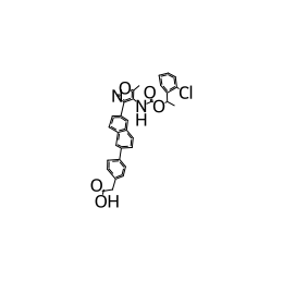 Cc1onc(-c2ccc3cc(-c4ccc(CC(=O)O)cc4)ccc3c2)c1NC(=O)OC(C)c1ccccc1Cl